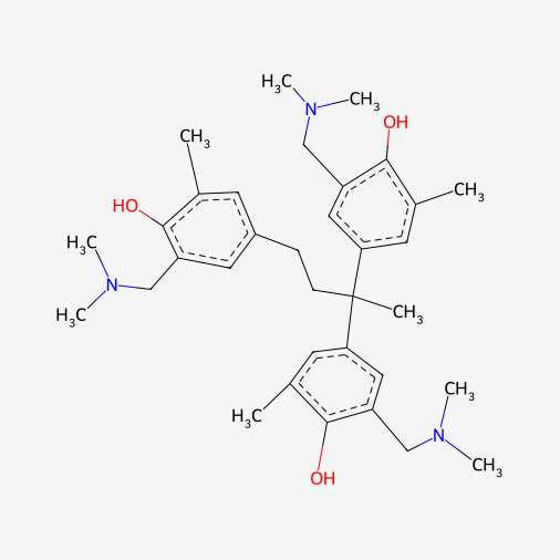 Cc1cc(CCC(C)(c2cc(C)c(O)c(CN(C)C)c2)c2cc(C)c(O)c(CN(C)C)c2)cc(CN(C)C)c1O